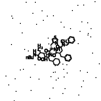 CCCCNC(=O)C(C)CC(O)C(CC1CCCCC1)NC(=O)[C@H](Cc1cscn1)NC(=O)C(CC(=O)N(C)Cc1ccccc1)Cc1ccccc1